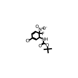 CC(C)(C)OC(=O)NC1C=C(Cl)C=CC1(F)[N+](=O)[O-]